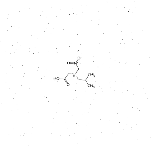 CC(C)C[C@H](CC(=O)O)C[N+](=O)[O-]